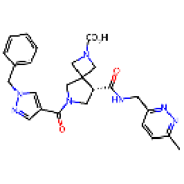 Cc1ccc(CNC(=O)[C@@H]2CN(C(=O)c3cnn(Cc4ccccc4)c3)CC23CN(C(=O)O)C3)nn1